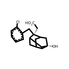 O=C(O)C[C@]1(Cc2ccccc2Cl)C2CC3CC1C[C@](O)(C3)C2